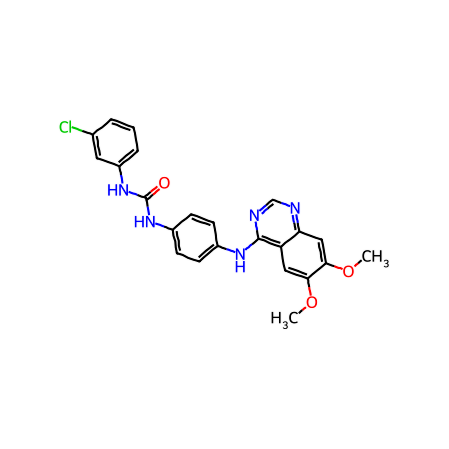 COc1cc2ncnc(Nc3ccc(NC(=O)Nc4cccc(Cl)c4)cc3)c2cc1OC